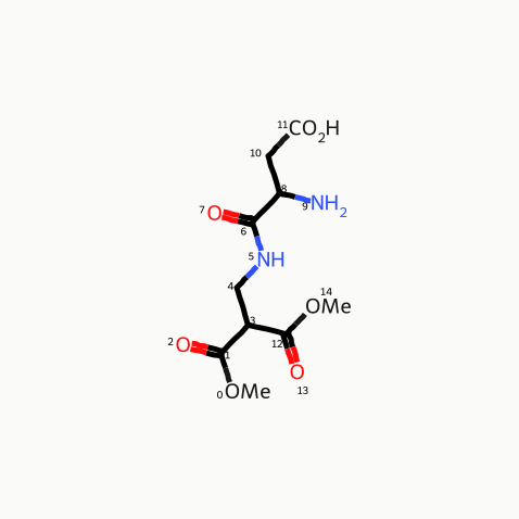 COC(=O)C(CNC(=O)C(N)CC(=O)O)C(=O)OC